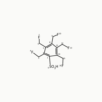 O=S(=O)(O)c1c(CF)c(CF)c(CF)c(CF)c1CF